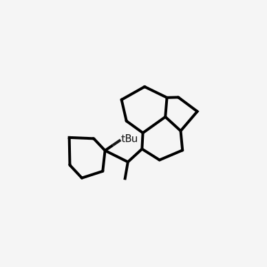 CC(C1CCC2CCC3CCCC1C32)C1(C(C)(C)C)CCCCC1